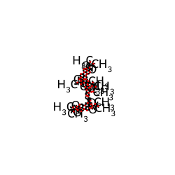 CCCCC(CC)CC1(CC(CC)CCCC)c2cc(-c3ccc(-c4cc5c6ccc7c8c(ccc(c9ccc%10c(c4C(=O)N(C(CCC)CCC)C%10=O)c95)c86)C(=O)N(C(CCC)CCC)C7=O)s3)ccc2-c2ccc(-c3ccc(-c4cc5c6ccc7c8c(ccc(c9ccc%10c(c4C(=O)N(C(CCC)CCC)C%10=O)c95)c86)C(=O)N(C(CCC)CCC)C7=O)s3)cc21